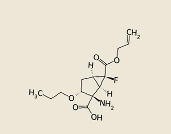 C=CCOC(=O)[C@@]1(F)[C@@H]2C[C@@H](OCCC)[C@@](N)(C(=O)O)[C@@H]21